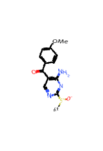 CC[S+]([O-])c1ncc(C(=O)c2ccc(OC)cc2)c(N)n1